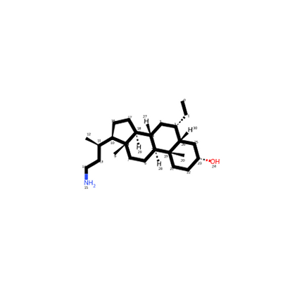 CC[C@H]1C[C@@H]2[C@H](CC[C@]3(C)[C@@H]([C@H](C)CCN)CC[C@@H]23)[C@@]2(C)CC[C@@H](O)C[C@@H]12